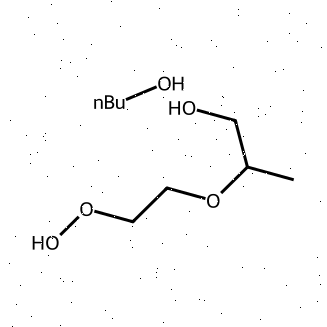 CC(CO)OCCOO.CCCCO